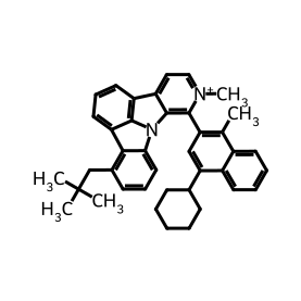 Cc1c(-c2c3c(cc[n+]2C)c2cccc4c5c(CC(C)(C)C)cccc5n3c24)cc(C2CCCCC2)c2ccccc12